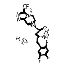 N[C@@H](CC(=O)N1CCn2c(nnc2C(F)(F)F)C1)Cc1cc(F)c(F)cc1F.O